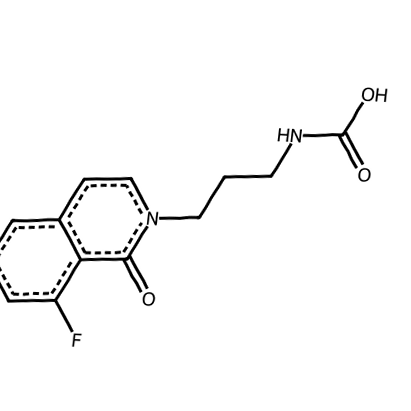 O=C(O)NCCCn1ccc2cncc(F)c2c1=O